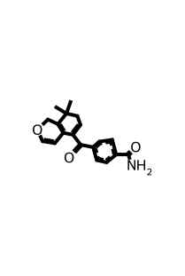 CC1(C)CC=C(C(=O)c2ccc(C(N)=O)cc2)C2=C1COC=C2